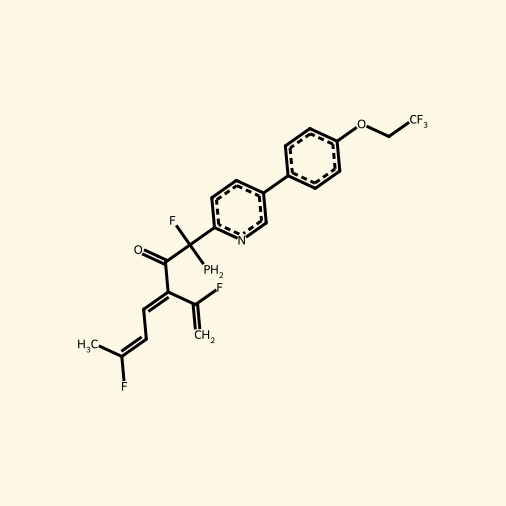 C=C(F)/C(=C\C=C(/C)F)C(=O)C(F)(P)c1ccc(-c2ccc(OCC(F)(F)F)cc2)cn1